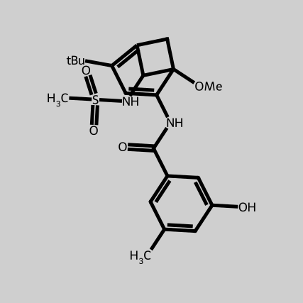 COC12CC(=C(C(C)(C)C)C=C1NC(=O)c1cc(C)cc(O)c1)C2NS(C)(=O)=O